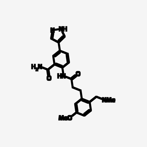 CNCc1ccc(OC)cc1CCC(=O)Nc1ccc(-c2cn[nH]c2)cc1C(N)=O